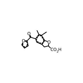 Cc1c(C(=O)c2ccco2)cc2c(c1C)OC(C(=O)O)C2